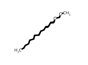 CCCCCCCCCC/C=C/C=C/OCOC